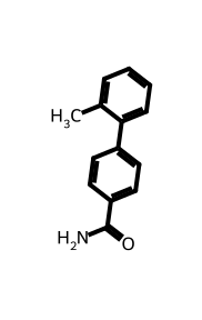 Cc1ccccc1-c1ccc(C(N)=O)cc1